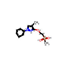 Cc1cn(-c2ccccc2)nc1OCCS(C)(=O)=O